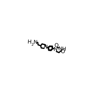 NCCC1CCN(c2ccc(N3CCC(=O)NC3=O)cc2)CC1